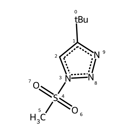 CC(C)(C)c1cn(S(C)(=O)=O)nn1